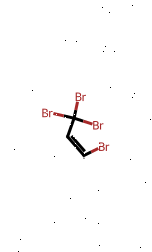 Br/[C]=C\C(Br)(Br)Br